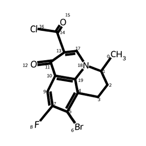 CC1CCc2c(Br)c(F)cc3c(=O)c(C(=O)Cl)cn1c23